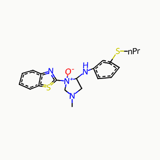 CCCSc1cccc(NC2CN(C)C[N+]2([O-])c2nc3ccccc3s2)c1